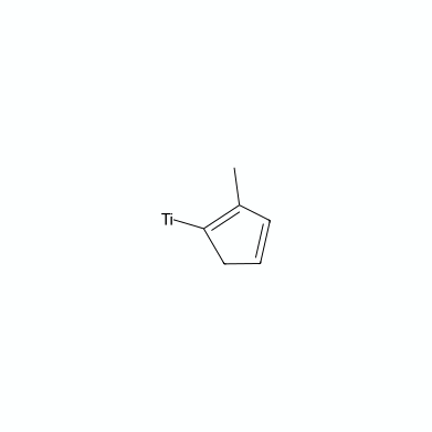 CC1=[C]([Ti])CC=C1